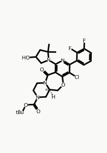 CC(C)(C)OC(=O)N1CCN2C(=O)c3c(N4CC(O)CC4(C)C)nc(-c4cccc(F)c4F)c(Cl)c3OC[C@H]2C1